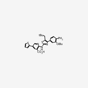 CC(C)COc1cc(-c2nc(Nc3ncc(-c4cccs4)cc3C(=O)O)sc2CC(C)(C)C)ccc1P